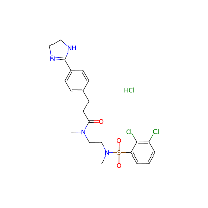 CN(CCN(C)S(=O)(=O)c1cccc(Cl)c1Cl)C(=O)CCc1ccc(C2=NCCN2)cc1.Cl